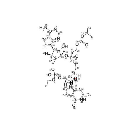 CCO[P@@]1(=O)OCC23C[C@@H]2[C@@H](n2cnc4c(N)ncnc42)[C@H](O)[C@@H]3O[P@](=O)(SCOC(=O)OC(C)C)OC[C@H]2O[C@@H](n3cnc4c(=O)[nH]c(C)nc43)[C@H](O1)[C@@H]2OC